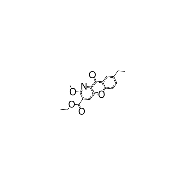 CCOC(=O)c1cc2oc3ccc(CC)cc3c(=O)c2nc1OC